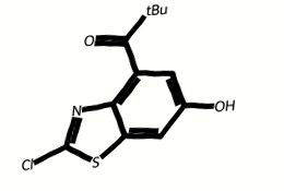 CC(C)(C)C(=O)c1cc(O)cc2sc(Cl)nc12